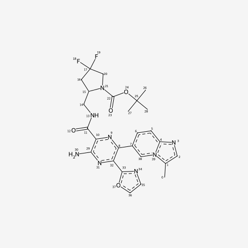 Cc1cnc2ccc(-c3nc(C(=O)NCC4CC(F)(F)CN4C(=O)OC(C)(C)C)c(N)nc3-c3ncco3)cn12